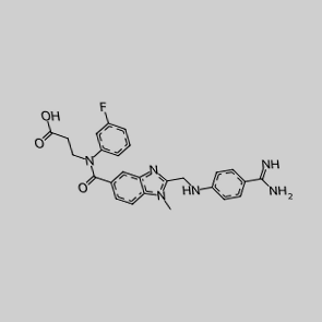 Cn1c(CNc2ccc(C(=N)N)cc2)nc2cc(C(=O)N(CCC(=O)O)c3cccc(F)c3)ccc21